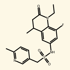 CCN1C(=O)CC(C)c2cc(NS(=O)(=O)Cc3ccc(C)nc3)cc(F)c21